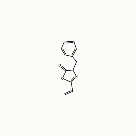 C=CC1=NC(Cc2ccccc2)C(=O)O1